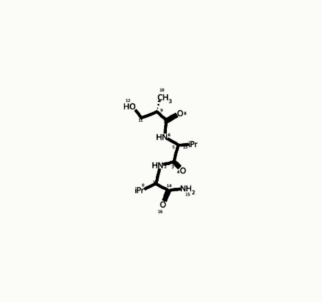 CC(C)C(NC(=O)C(NC(=O)[C@@H](C)CO)C(C)C)C(N)=O